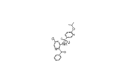 CC(C)Oc1ccc(S(=O)(=O)Nc2cc(Cl)cnc2C(=O)c2ccccc2)cn1